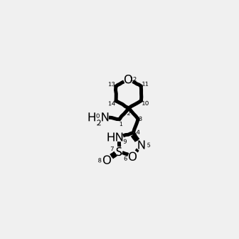 NCC1(CC2=NOS(=O)N2)CCOCC1